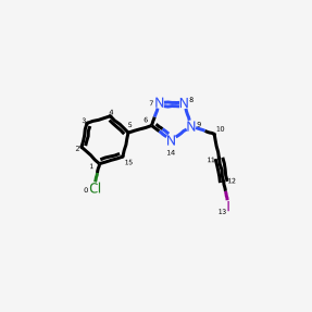 Clc1cccc(-c2nnn(CC#CI)n2)c1